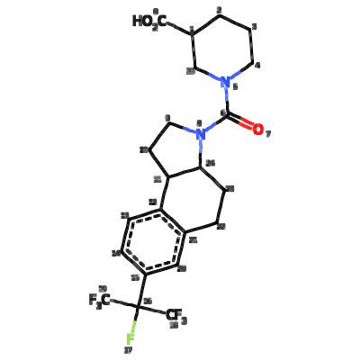 O=C(O)C1CCCN(C(=O)N2CCC3c4ccc(C(F)(C(F)(F)F)C(F)(F)F)cc4CCC32)C1